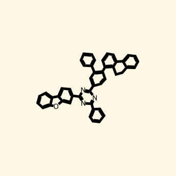 c1ccc(-c2nc(-c3ccc(-c4cccc5c4CCc4ccccc4-5)c(-c4ccccc4)c3)nc(-c3ccc4c(c3)oc3ccccc34)n2)cc1